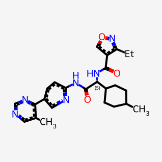 CCc1nocc1C(=O)N[C@H](C(=O)Nc1ccc(-c2ncncc2C)cn1)C1CCC(C)CC1